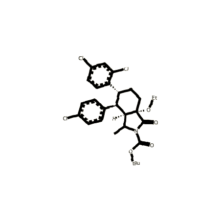 CCO[C@@]12CC[C@@H](c3ccc(Cl)cc3Cl)[C@H](c3ccc(Cl)cc3)[C@@H]1C(C)N(C(=O)OC(C)(C)C)C2=O